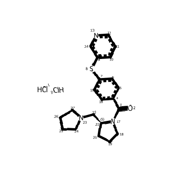 Cl.Cl.O=C(c1ccc(Sc2cccnc2)cc1)N1CCC[C@H]1CN1CCCC1